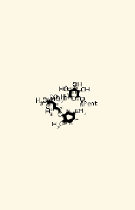 CCCCCOC1O[C@H](C(=O)O)[C@@H](O)[C@H](O)[C@H]1O.Cc1ccc(C)c(OCCCC(C)(C)C(=O)O)c1